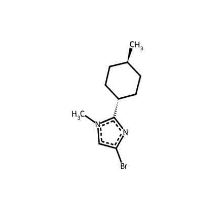 Cn1cc(Br)nc1[C@H]1CC[C@H](C)CC1